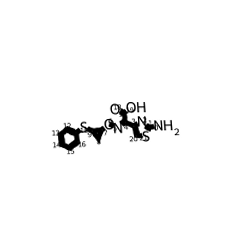 Nc1nc(C(=NOC2CC2Sc2ccccc2)C(=O)O)cs1